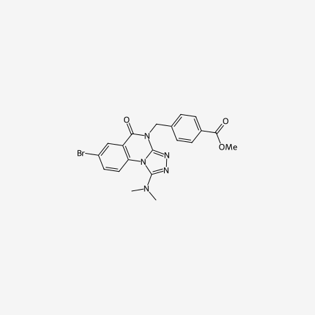 COC(=O)c1ccc(Cn2c(=O)c3cc(Br)ccc3n3c(N(C)C)nnc23)cc1